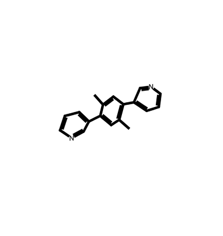 Cc1cc(-c2cccnc2)c(C)cc1-c1cccnc1